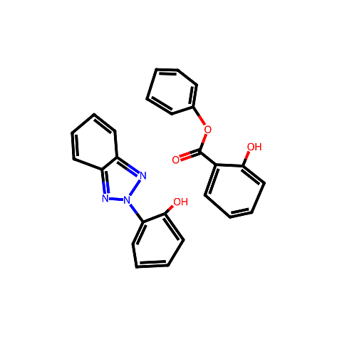 O=C(Oc1ccccc1)c1ccccc1O.Oc1ccccc1-n1nc2ccccc2n1